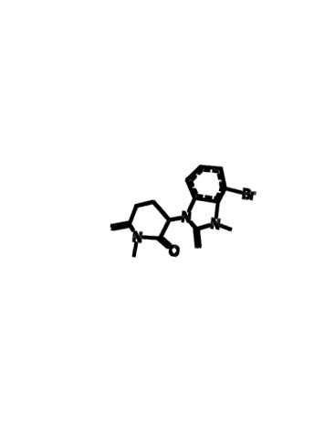 C=C1CCC(N2C(=C)N(C)c3c(Br)cccc32)C(=O)N1C